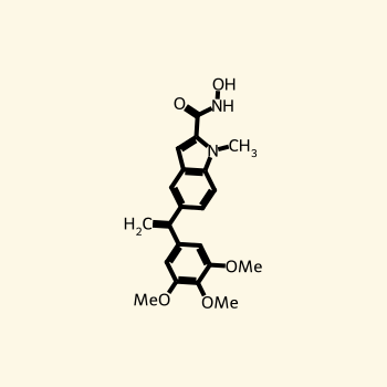 C=C(c1cc(OC)c(OC)c(OC)c1)c1ccc2c(c1)cc(C(=O)NO)n2C